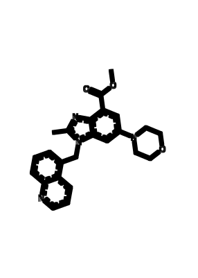 COC(=O)c1cc(N2CCOCC2)cc2c1nc(C)n2Cc1cccc2ncccc12